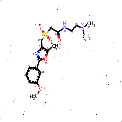 COc1cccc(-c2nc(CS(=O)(=O)CC(=O)NCCN(C)C)c(C)o2)c1